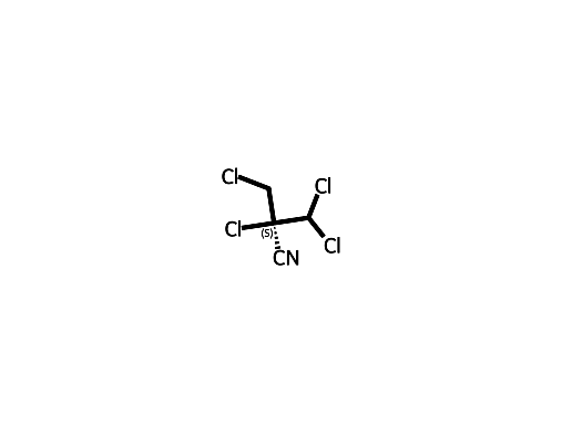 N#C[C@](Cl)(CCl)C(Cl)Cl